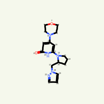 O=c1cc(N2CCOCC2)cc(N2CCCC2Cn2cccn2)[nH]1